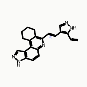 C=Cc1[nH]ncc1/C=C/c1nc2ccc3[nH]ncc3c2c2c1CCCC2